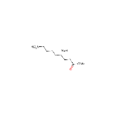 COC(=O)CCCCCCCS(=O)(=O)O.[NaH]